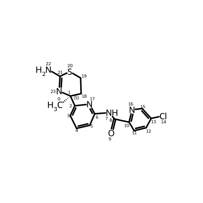 C[C@@]1(c2cccc(NC(=O)c3ccc(Cl)cn3)n2)CCSC(N)=N1